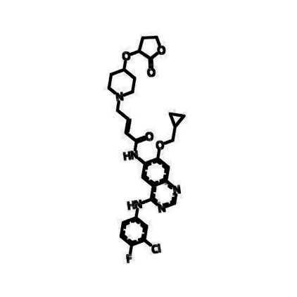 O=C(/C=C/CN1CCC(OC2CCOC2=O)CC1)Nc1cc2c(Nc3ccc(F)c(Cl)c3)ncnc2cc1OCC1CC1